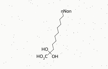 CCCCCCCCCCCCCCCCCCC(O)(O)C(=O)O